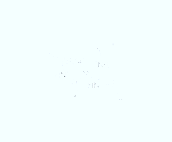 CCNC(C)C([SiH3])(NCC)NCC